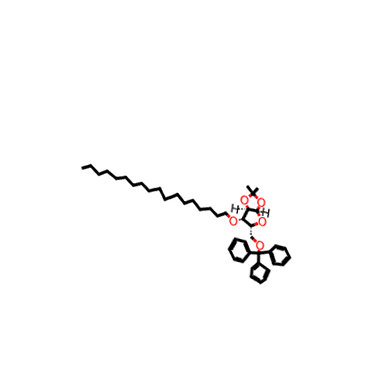 CCCCCCCCCCCCCCCCCCO[C@@H]1[C@H]2OC(C)(C)O[C@H]2O[C@@H]1COC(c1ccccc1)(c1ccccc1)c1ccccc1